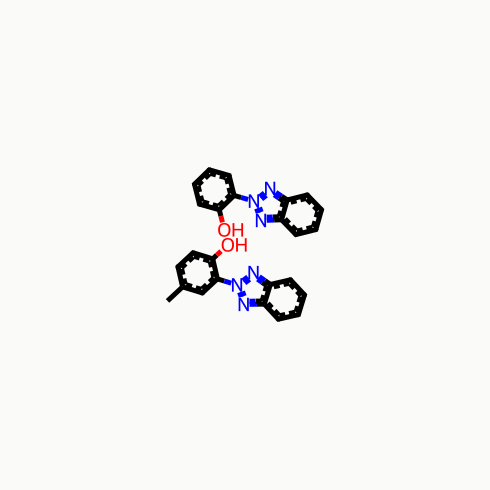 Cc1ccc(O)c(-n2nc3ccccc3n2)c1.Oc1ccccc1-n1nc2ccccc2n1